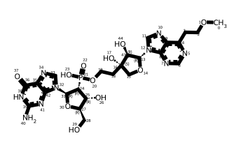 COCCc1ncnc2c1ncn2[C@@H]1OC[C@@](O)(CCOP(=O)(O)[C@@H]2[C@H](O)[C@@H](CO)O[C@H]2n2cnc3c(=O)[nH]c(N)nc32)[C@H]1O